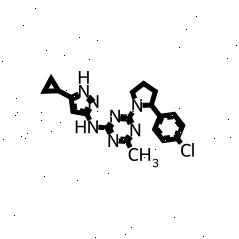 Cc1nc(Nc2cc(C3CC3)[nH]n2)nc(N2CCCC2c2ccc(Cl)cc2)n1